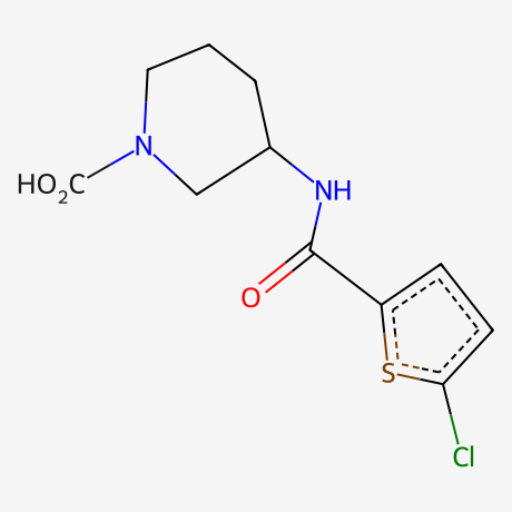 O=C(NC1CCCN(C(=O)O)C1)c1ccc(Cl)s1